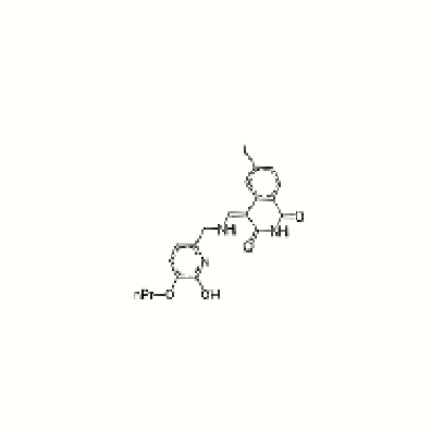 CCCOc1ccc(CNC=C2C(=O)NC(=O)c3ccc(I)cc32)nc1O